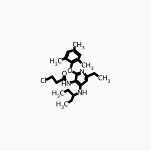 CCc1cc(NC(CC)CC)c(NC(=O)CCCl)c(Oc2c(C)cc(C)cc2C)n1